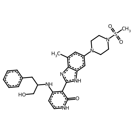 Cc1cc(N2CCN(S(C)(=O)=O)CC2)cc2[nH]c(-c3c(NC(CO)Cc4ccccc4)cc[nH]c3=O)nc12